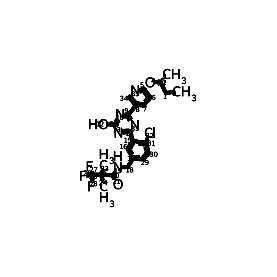 CC[C@@H](C)Oc1ccc(-c2nc(O)nc(-c3cc(CNC(=O)C(C)(C)C(F)(F)F)ccc3Cl)n2)cn1